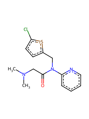 CN(C)CC(=O)N(Cc1ccc(Cl)s1)c1ccccn1